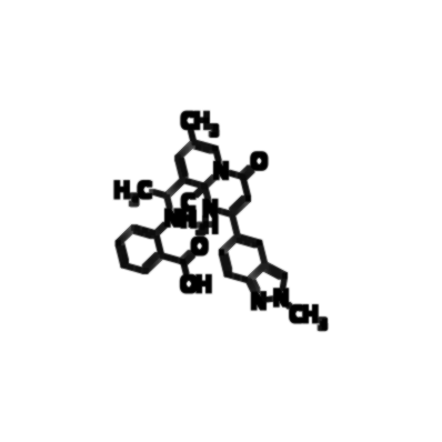 CC1=CN2C(=O)C=C(c3ccc4nn(C)cc4c3)NC2(C)C(C(C)Nc2ccccc2C(=O)O)=C1